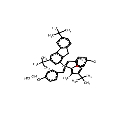 CC1=[C]([Zr](=[CH]c2ccc(Cl)cc2)(=[CH]c2ccc(Cl)cc2)[c]2cc(C(C)(C)C)cc3c2Cc2ccc(C(C)(C)C)cc2-3)C(C)C=C1C(C)(C)C.Cl.Cl